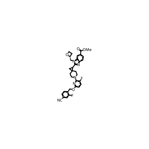 COC(=O)c1ccc2nc(C3CC34CCN(c3nc(OCc5ccc(C#N)cc5F)ccc3F)CC4)n(C[C@@H]3CCO3)c2c1